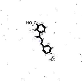 CCOc1ccc(/C=C/C(=O)c2cccc(C(=O)O)c2O)cc1